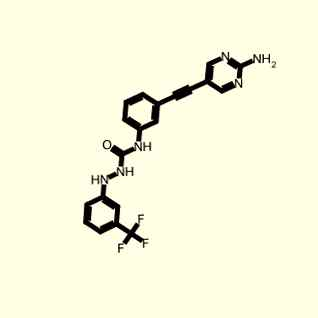 Nc1ncc(C#Cc2cccc(NC(=O)NNc3cccc(C(F)(F)F)c3)c2)cn1